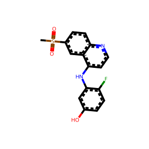 CS(=O)(=O)c1ccc2nccc(Nc3cc(O)ccc3F)c2c1